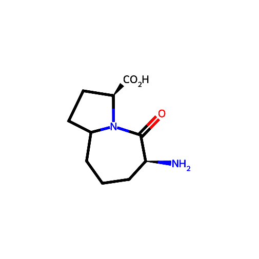 N[C@H]1CCCC2CC[C@@H](C(=O)O)N2C1=O